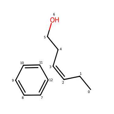 CC/C=C\CCO.c1ccccc1